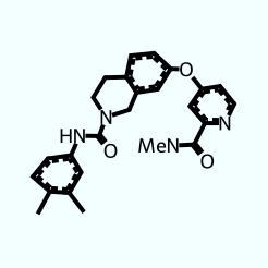 CNC(=O)c1cc(Oc2ccc3c(c2)CN(C(=O)Nc2ccc(C)c(C)c2)CC3)ccn1